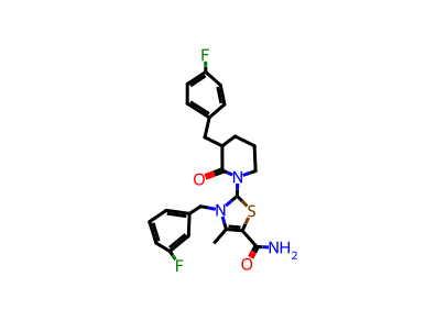 CC1=C(C(N)=O)SC(N2CCCC(Cc3ccc(F)cc3)C2=O)N1Cc1cccc(F)c1